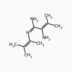 CC(C)=C(C)/N=C(/N)C(N)=C(C)C